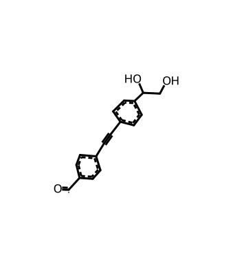 O=[C]c1ccc(C#Cc2ccc(C(O)CO)cc2)cc1